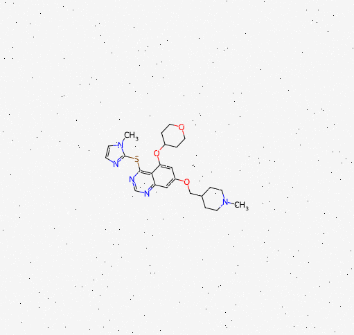 CN1CCC(COc2cc(OC3CCOCC3)c3c(Sc4nccn4C)ncnc3c2)CC1